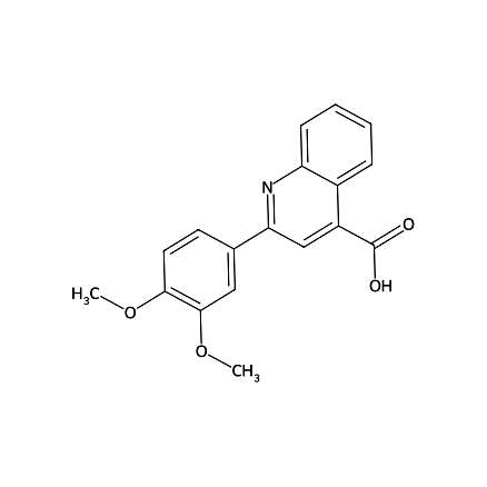 COc1ccc(-c2cc(C(=O)O)c3ccccc3n2)cc1OC